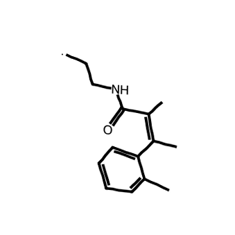 [CH2]CCNC(=O)C(C)=C(C)c1ccccc1C